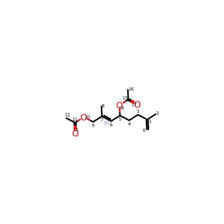 C=C(C)CCC(/C=C(\C)COC(C)=O)OC(C)=O